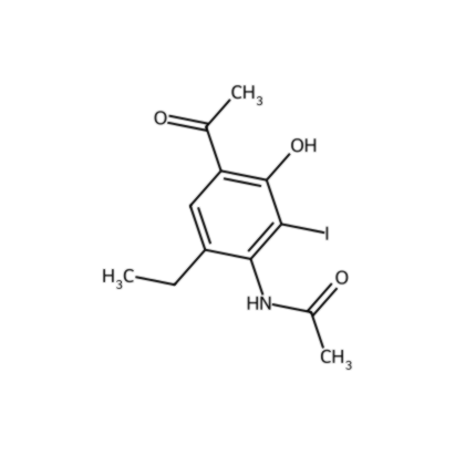 CCc1cc(C(C)=O)c(O)c(I)c1NC(C)=O